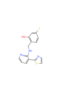 Oc1cc(F)ccc1CNc1ncccc1-c1nccs1